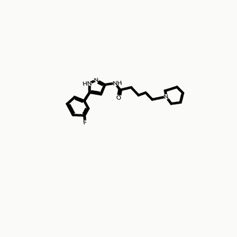 O=C(CCCCN1CCCCC1)Nc1cc(-c2cccc(F)c2)[nH]n1